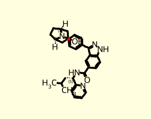 CC(C)C[C@H](NC(=O)c1ccc2[nH]nc(-c3ccc(N4[C@@H]5CC[C@H]4CC(O)C5)cc3)c2c1)c1ccccn1